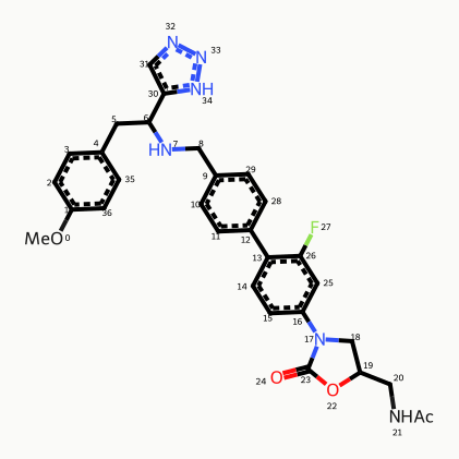 COc1ccc(CC(NCc2ccc(-c3ccc(N4CC(CNC(C)=O)OC4=O)cc3F)cc2)c2cnn[nH]2)cc1